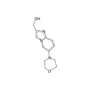 OCc1cn2cc(N3CCOCC3)ccc2n1